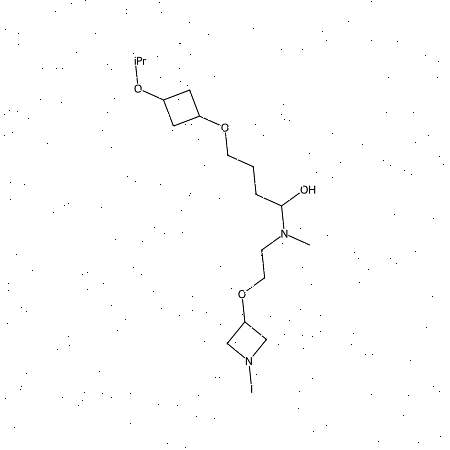 CC(C)OC1CC(OCCCC(O)N(C)CCOC2CN(I)C2)C1